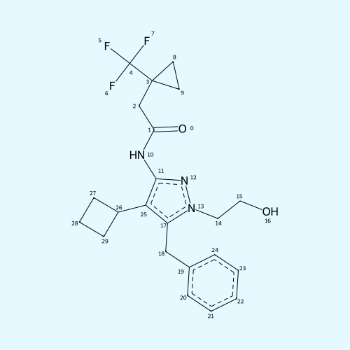 O=C(CC1(C(F)(F)F)CC1)Nc1nn(CCO)c(Cc2ccccc2)c1C1CCC1